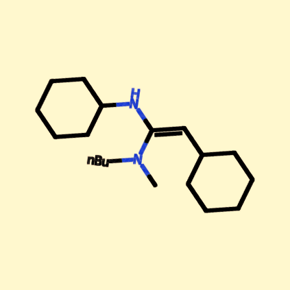 CCCCN(C)/C(=C\C1CCCCC1)NC1CCCCC1